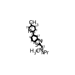 CC1CCC(c2ccc3sc(CN(C)C(C)C)nc3c2)=NC1